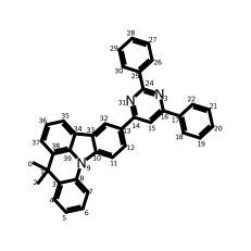 CC1(C)c2ccccc2-n2c3ccc(-c4cc(-c5ccccc5)nc(-c5ccccc5)n4)cc3c3cccc1c32